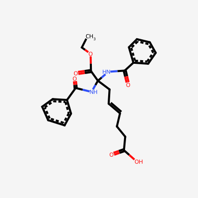 CCOC(=O)C(CC=CCCC(=O)O)(NC(=O)c1ccccc1)NC(=O)c1ccccc1